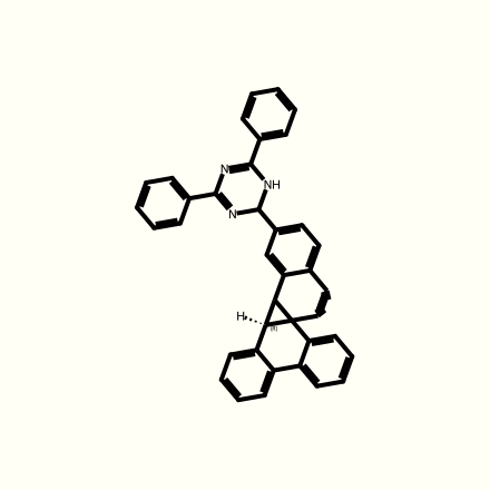 c1ccc(C2=NC(c3ccc4c(c3)C3[C@@H]5c6ccccc6-c6ccccc6C35c3ccccc3-4)NC(c3ccccc3)=N2)cc1